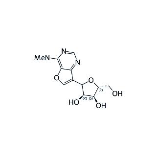 CNc1ncnc2c(C3O[C@H](CO)[C@@H](O)[C@H]3O)coc12